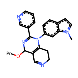 CC(C)OC1N=C(c2cccnc2)N(c2ccc3ccn(C)c3c2)C2=C1C=NCC2